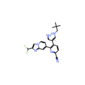 CC(C)(C)CN/C=C(\C=N)c1ccc(C#N)nc1-c1ccn2cc(C(F)F)nc2c1